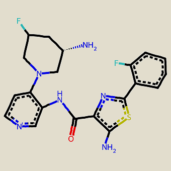 Nc1sc(-c2ccccc2F)nc1C(=O)Nc1cnccc1N1CC(F)C[C@H](N)C1